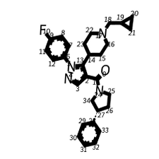 O=C(c1cnn(-c2ccc(F)cc2)c1C1CCN(CC2CC2)CC1)N1CC[C@H](c2ccccc2)C1